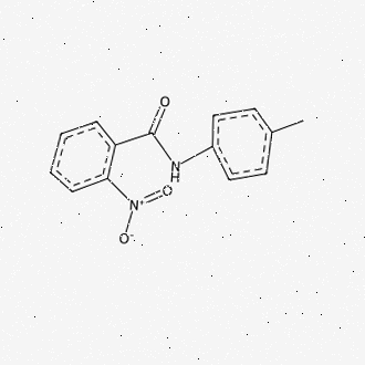 Cc1ccc(NC(=O)c2ccccc2[N+](=O)[O-])cc1